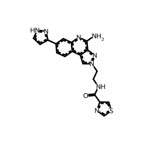 Nc1nc2cc(-c3cc[nH]n3)ccc2c2cn(CCNC(=O)c3cscn3)nc12